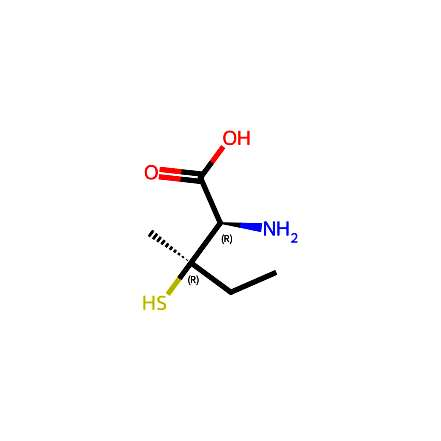 CC[C@@](C)(S)[C@H](N)C(=O)O